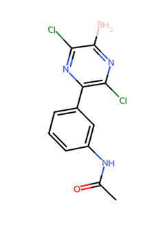 Bc1nc(Cl)c(-c2cccc(NC(C)=O)c2)nc1Cl